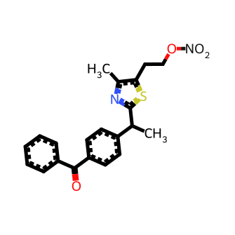 Cc1nc(C(C)c2ccc(C(=O)c3ccccc3)cc2)sc1CCO[N+](=O)[O-]